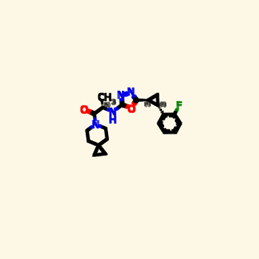 C[C@H](Nc1nnc([C@H]2C[C@@H]2c2ccccc2F)o1)C(=O)N1CCC2(CC1)CC2